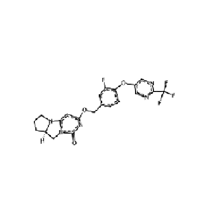 O=c1nc(OCc2ccc(Oc3cnc(C(F)(F)F)nc3)c(F)c2)cc2n1C[C@H]1CCCN21